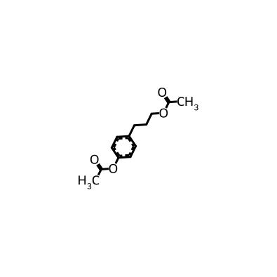 CC(=O)OCCCc1ccc(OC(C)=O)cc1